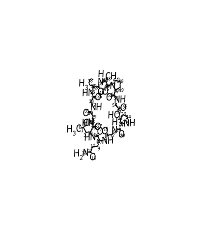 CC(C)C[C@H](NC(=O)[C@H](CCC(N)=O)NC(=O)CNC(=O)[C@@H]1CCCN1)C(=O)NCC(=O)NCC(=O)N[C@@H](C)C(=O)N[C@@H](C)C(=O)N1CCC[C@H]1C(=O)NCC(=O)O